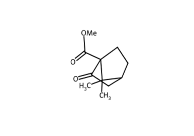 COC(=O)C12CCC(CC1=O)C2(C)C